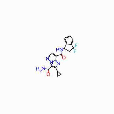 NC(=O)c1c(C2CC2)nc2c(C(=O)NC3CC(F)(F)c4ccccc43)ccnn12